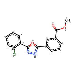 COC(=O)c1cccc(-c2nnc(-c3ccccc3Cl)o2)c1